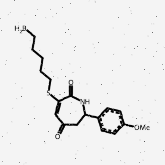 BCCCCCSC1=CC(=O)CC(c2ccc(OC)cc2)NC1=O